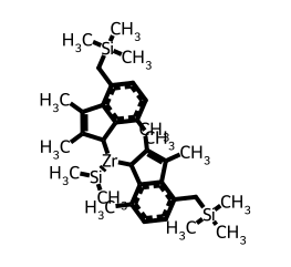 CC1=C(C)[CH]([Zr]([CH]2C(C)=C(C)c3c(C[Si](C)(C)C)ccc(C)c32)=[Si](C)C)c2c(C)ccc(C[Si](C)(C)C)c21